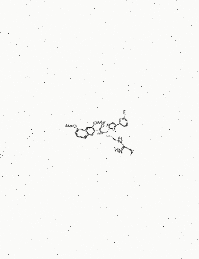 COc1cc2c(OC)cccc2cc1C(=O)N[C@@H](CCCNC(=N)CF)c1ncc(-c2cccc(F)c2)o1